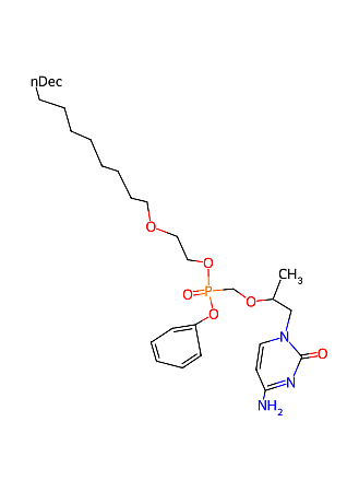 CCCCCCCCCCCCCCCCCCOCCOP(=O)(COC(C)Cn1ccc(N)nc1=O)Oc1ccccc1